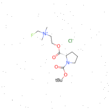 CC(C)(C)OC(=O)N1CCC[C@H]1C(=O)OCC[N+](C)(C)CF.[Cl-]